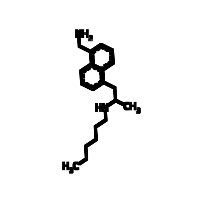 CCCCCCNC(C)Cc1cccc2c(CN)cccc12